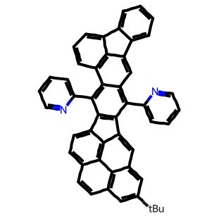 CC(C)(C)c1cc2ccc3ccc4c5c(-c6ccccn6)c6c(cc7c8ccccc8c8cccc6c87)c(-c6ccccn6)c5c5cc(c1)c2c3c54